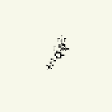 Cc1cc(CO[Si](C)(C)C(C)(C)C)cc(F)c1-c1nc(C(F)(F)F)c[nH]1